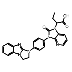 CCC(C(=O)O)n1c(=O)n(-c2ccc(N3CCn4c3nc3ccccc34)cc2)c2ncccc21